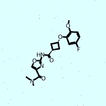 COc1ccc(F)cc1O[C@H]1C[C@H](C(=O)Nc2nc(C(=O)N(C)C)co2)C1